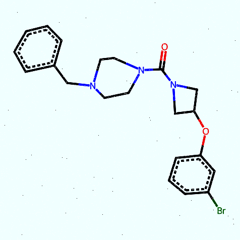 O=C(N1CCN(Cc2ccccc2)CC1)N1CC(Oc2cccc(Br)c2)C1